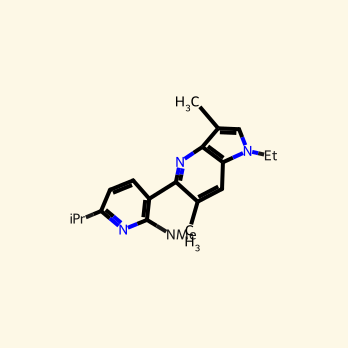 CCn1cc(C)c2nc(-c3ccc(C(C)C)nc3NC)c(C)cc21